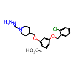 CC(=O)O.NN=CN1CCC(COc2cccc(OCc3ccccc3Cl)c2)CC1